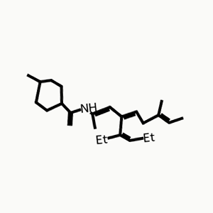 C=C(N/C(C)=C/C(=C/C/C(C)=C/C)C(=C\CC)/CC)C1CCC(C)CC1